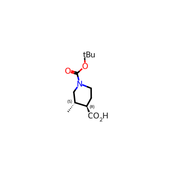 C[C@@H]1CN(C(=O)OC(C)(C)C)CC[C@H]1C(=O)O